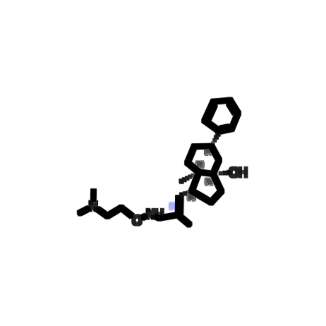 C/C(=C\[C@H]1CC[C@]2(O)C[C@@H](c3ccccc3)CC[C@]12C)CNOCCN(C)C